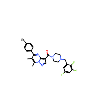 CCc1ccc(-c2nc3c(C(=O)N4CCN(Cc5cc(F)cc(F)c5F)CC4)cnn3c(C)c2C)cc1